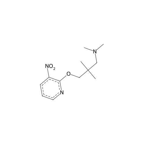 CN(C)CC(C)(C)COc1ncccc1[N+](=O)[O-]